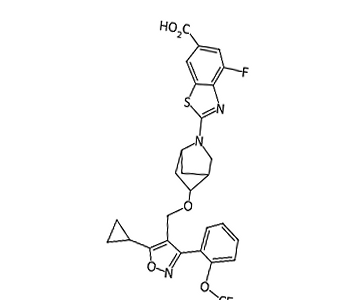 O=C(O)c1cc(F)c2nc(N3CC4CC3CC4OCc3c(-c4ccccc4OC(F)(F)F)noc3C3CC3)sc2c1